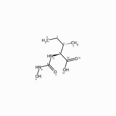 CC[C@H](C)[C@H](NC(=O)NO)C(=O)O